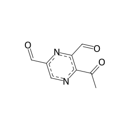 CC(=O)c1ncc(C=O)nc1C=O